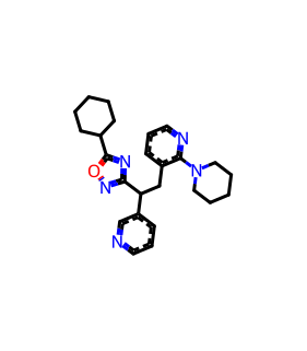 c1cncc(C(Cc2cccnc2N2CCCCC2)c2noc(C3CCCCC3)n2)c1